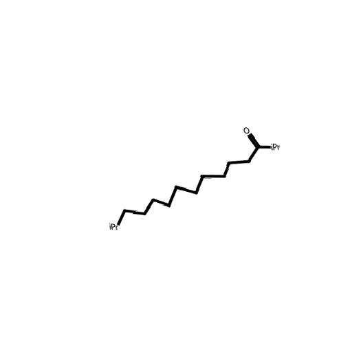 CC(C)CCCCCCCCCCC(=O)C(C)C